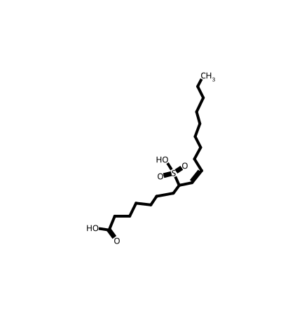 CCCCCCCC/C=C\C(CCCCCCC(=O)O)S(=O)(=O)O